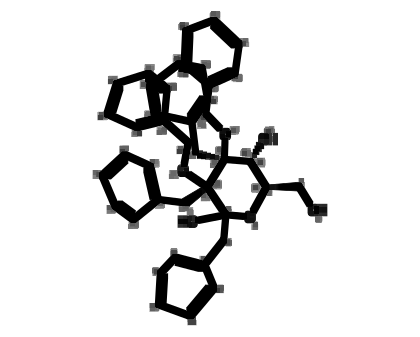 OC[C@H]1OC(O)(Cc2ccccc2)[C@](Cc2ccccc2)(OCc2ccccc2)[C@@](Cc2ccccc2)(OCc2ccccc2)[C@@H]1O